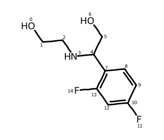 OCCNC(CO)c1ccc(F)cc1F